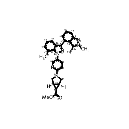 COC(=O)C1[C@H]2CN(c3ccc(-n4nc(-c5cccc6nn(C)c(F)c56)c5cccc(C)c54)cn3)C[C@@H]12